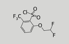 O=S(=O)(Cl)c1c(OCC(F)F)cccc1C(F)(F)F